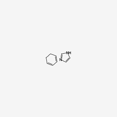 C1=CCCC=C1.c1c[nH]cn1